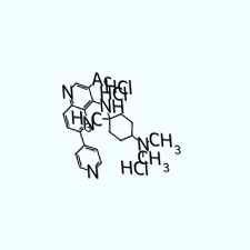 CC(=O)c1cnc2ccc(-c3ccncc3)nc2c1NC1(C)CCC(N(C)C)CC1.Cl.Cl.Cl